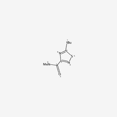 CNC(=O)c1nsc(C(C)(C)C)n1